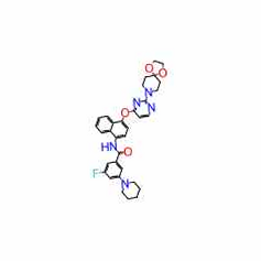 O=C(Nc1ccc(Oc2ccnc(N3CCC4(CC3)OCCO4)n2)c2ccccc12)c1cc(F)cc(N2CCCCC2)c1